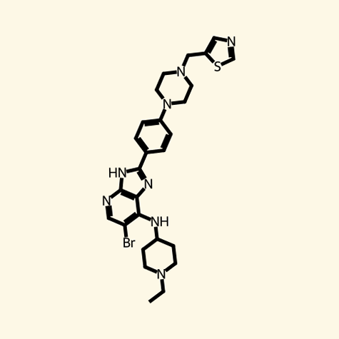 CCN1CCC(Nc2c(Br)cnc3[nH]c(-c4ccc(N5CCN(Cc6cncs6)CC5)cc4)nc23)CC1